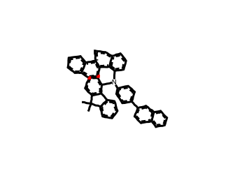 CC1(C)c2ccccc2-c2c(N(c3ccc(-c4ccc5ccccc5c4)cc3)c3cccc4ccc5c6ccccc6ccc5c34)cccc21